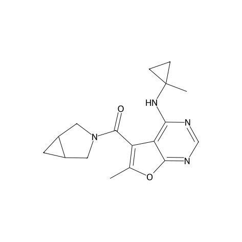 Cc1oc2ncnc(NC3(C)CC3)c2c1C(=O)N1CC2CC2C1